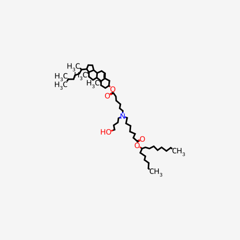 CCCCCCCCC(CCCCCC)OC(=O)CCCCCCN(CCCCO)CCCCCC(=O)OC1CCC2(C)C(=CCC3C2CCC2(C)C(C(C)CCCC(C)C)CCC32)C1